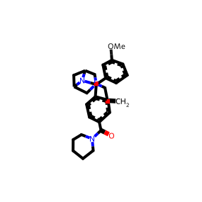 C=CCN1CC2CC(C1)N2C(c1ccc(C(=O)N2CCCCC2)cc1)c1cccc(OC)c1